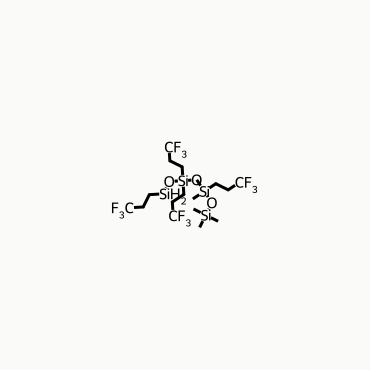 C[Si](C)(C)O[Si](C)(CCC(F)(F)F)O[Si](CCC(F)(F)F)(CCC(F)(F)F)O[SiH2]CCC(F)(F)F